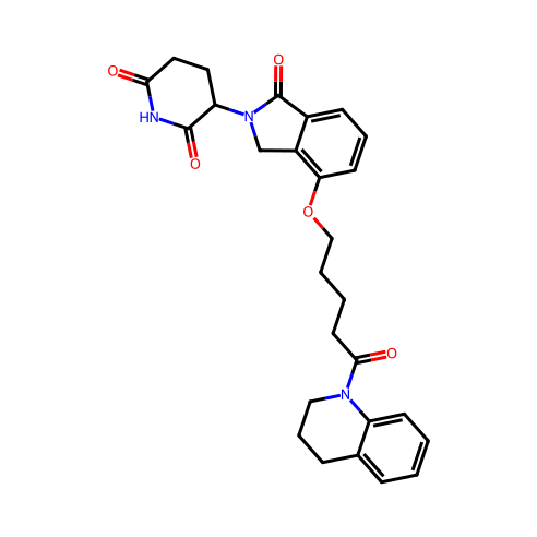 O=C1CCC(N2Cc3c(OCCCCC(=O)N4CCCc5ccccc54)cccc3C2=O)C(=O)N1